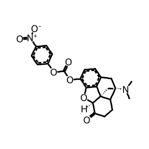 CC[C@@]12c3c4ccc(OC(=O)Oc5ccc([N+](=O)[O-])cc5)c3O[C@@H]1C(=O)CCC2[C@@H](N(C)C)C4